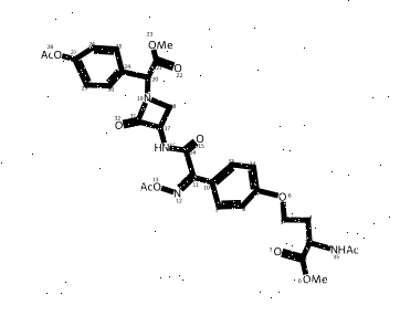 COC(=O)C(CCOc1ccc(C(=NOC(C)=O)C(=O)NC2CN(C(C(=O)OC)c3ccc(OC(C)=O)cc3)C2=O)cc1)NC(C)=O